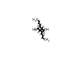 CCCCCC(I)(C(=O)O)C(I)(CCCCC)C(=O)O